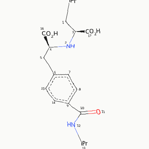 CC(C)C[C@H](N[C@@H](Cc1ccc(C(=O)NC(C)C)cc1)C(=O)O)C(=O)O